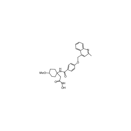 COC1CCC(CC(=O)NO)(NC(=O)c2ccc(OCc3cc(C)nc4ccccc34)cc2)CC1